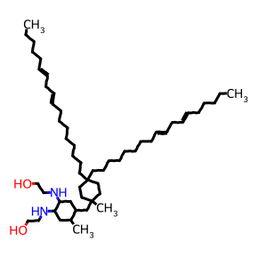 CCCCCC=CCC=CCCCCCCCCC1(CCCCCCCCC=CCC=CCCCCC)CCC(C)(CC2CC(NCCO)C(NCCO)CC2C)CC1